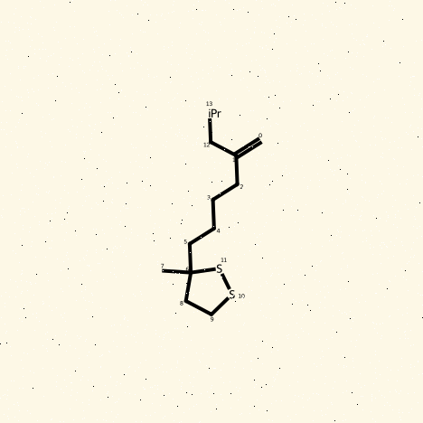 C=C(CCCCC1(C)CCSS1)CC(C)C